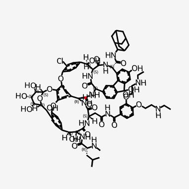 CCNCCOc1ccc(C(=O)NC(=O)C[C@@H]2NC(=O)[C@H](NC(=O)[C@@H](CC(C)C)NC)[C@H](O)c3ccc4c(c3)C(O)[C@H]3O[C@@H](Oc5c6cc(cc5O4)[C@@H](NC2=O)C(=O)N[C@H]2C(=O)N[C@H](C(=O)N[C@H](C(=O)NC4C5CC7CC(C5)CC4C7)c4cc(O)cc5c4-c4cc2ccc4C5(O)O)[C@H](O)c2ccc(c(Cl)c2)O6)[C@H](O)[C@@H](O)[C@@H]3O)cc1OCCNCC